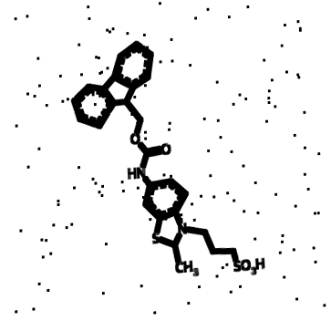 CC1Sc2cc(NC(=O)OCC3c4ccccc4-c4ccccc43)ccc2N1CCCS(=O)(=O)O